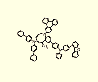 C=C1/C=C(N(c2ccc(-c3ccccc3)cc2)c2ccc(-c3ccccc3)cc2)\C=C/CN(c2ccc3c4ccccc4c4ccccc4c3c2)c2ccc(-c3ccc(N(c4ccccc4)c4ccc(-c5cccc6oc7ccccc7c56)cc4)cc3)cc21